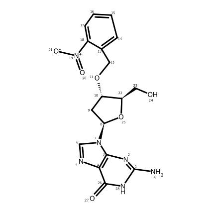 Nc1nc2c(ncn2[C@H]2C[C@H](OCc3ccccc3[N+](=O)[O-])[C@@H](CO)O2)c(=O)[nH]1